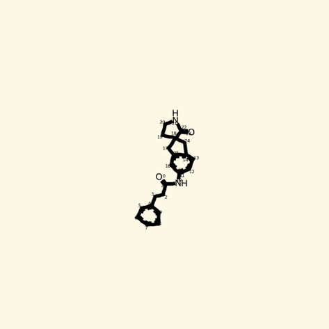 O=C(CCc1ccccc1)Nc1ccc2c(c1)CC1(CCNC1=O)C2